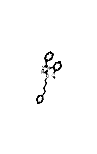 COc1ccccc1-n1c(OCCCCc2ccccc2)nnc1-c1ccccc1